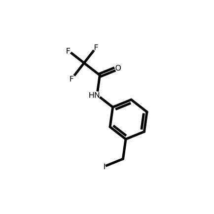 O=C(Nc1cccc(CI)c1)C(F)(F)F